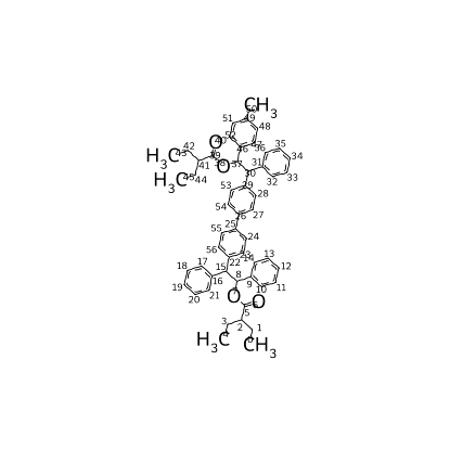 CCC(CC)C(=O)OC(c1ccccc1)C(c1ccccc1)c1ccc(-c2ccc(C(c3ccccc3)C(OC(=O)C(CC)CC)c3ccc(C)cc3)cc2)cc1